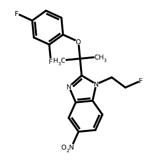 CC(C)(Oc1ccc(F)cc1F)c1nc2cc([N+](=O)[O-])ccc2n1CCF